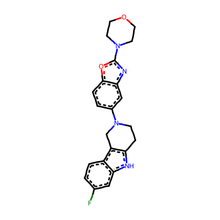 Fc1ccc2c3c([nH]c2c1)CCN(c1ccc2oc(N4CCOCC4)nc2c1)C3